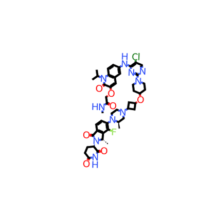 CNC(=O)COc1cc2cc(Nc3nc(N4CCC(OC5CC(N6CCN(c7ccc8c(c7F)[C@H](C)N([C@H]7CCC(=O)NC7=O)C8=O)[C@H](C)C6)C5)CC4)ncc3Cl)ccc2n(C(C)C)c1=O